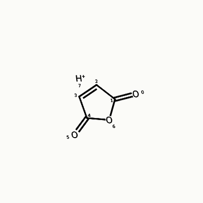 O=C1C=CC(=O)O1.[H+]